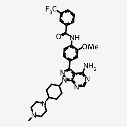 COc1cc(-c2nn(C3CCC(N4CCN(C)CC4)CC3)c3ncnc(N)c23)ccc1NC(=O)c1cccc(C(F)(F)F)c1